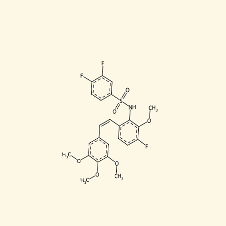 COc1cc(/C=C\c2ccc(F)c(OC)c2NS(=O)(=O)c2ccc(F)c(F)c2)cc(OC)c1OC